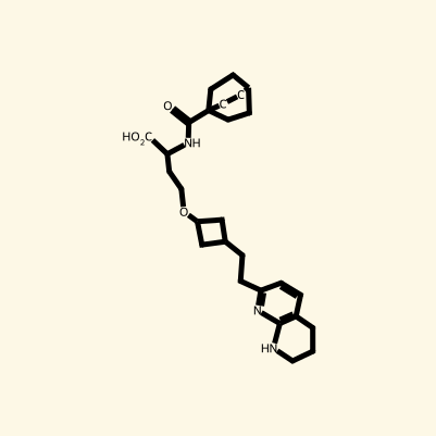 O=C(O)C(CCOC1CC(CCc2ccc3c(n2)NCCC3)C1)NC(=O)C12CCC(CC1)CC2